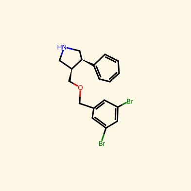 Brc1cc(Br)cc(COC[C@H]2CNC[C@H]2c2ccccc2)c1